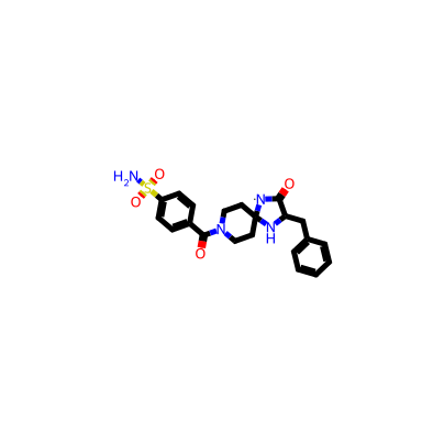 NS(=O)(=O)c1ccc(C(=O)N2CCC3(CC2)[N]C(=O)C(Cc2ccccc2)N3)cc1